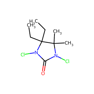 CCC1(CC)N(Cl)C(=O)N(Cl)C1(C)C